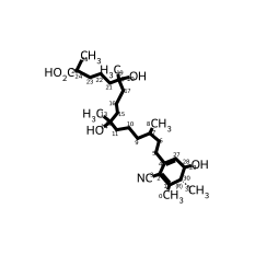 CC1=C(C#N)C(CCC(C)CCCC(C)(O)CCCC(C)(O)CCCC(C)C(=O)O)=CC(O)[C@@H]1C